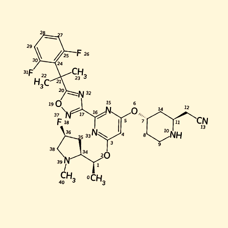 C[C@H](Oc1cc(O[C@H]2CCN[C@H](CC#N)C2)nc(-c2noc(C(C)(C)c3c(F)cccc3F)n2)n1)[C@@H]1C[C@H](F)CN1C